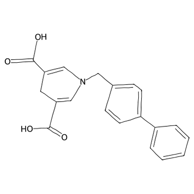 O=C(O)C1=CN(Cc2ccc(-c3ccccc3)cc2)C=C(C(=O)O)C1